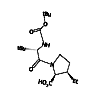 CC[C@@H]1CCN(C(=O)[C@@H](NC(=O)OC(C)(C)C)C(C)(C)C)[C@@H]1C(=O)O